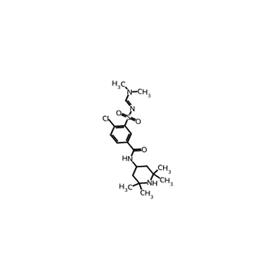 CN(C)C=NS(=O)(=O)c1cc(C(=O)NC2CC(C)(C)NC(C)(C)C2)ccc1Cl